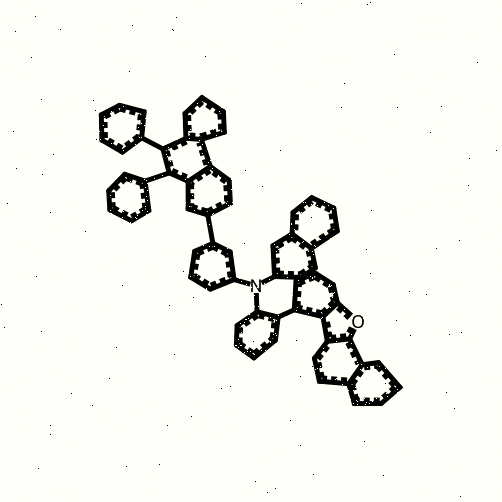 c1ccc(-c2c(-c3ccccc3)c3cc(-c4cccc(N(c5ccc6ccccc6c5)c5ccccc5-c5cccc6oc7c8ccccc8ccc7c56)c4)ccc3c3ccccc23)cc1